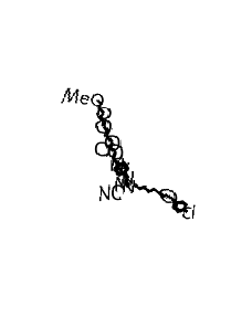 COCCOCCOCCOC(=O)OCn1ccc(=N/C(=N\CCCCCCOc2ccc(Cl)cc2)NC#N)cc1